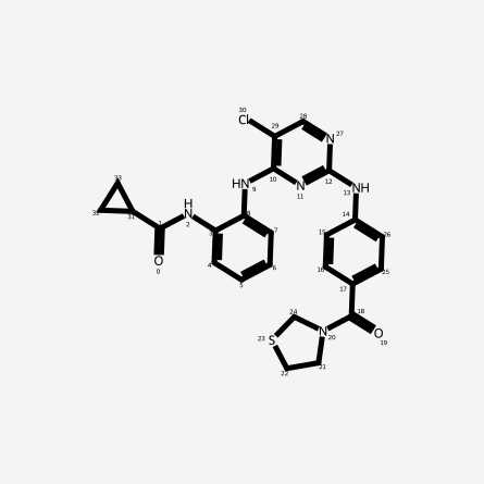 O=C(Nc1ccccc1Nc1nc(Nc2ccc(C(=O)N3CCSC3)cc2)ncc1Cl)C1CC1